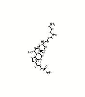 CC(C)OC(=O)CC[C@@H](C)C1CCC2C3C(CC[C@@]21C)[C@@]1(C)CC[C@H](NCCCN(C)CCCN)CC1C[C@@H]3O